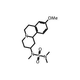 COc1ccc2c(c1)CCN1CCC(N(C)S(=O)(=O)N(C)C)CC21